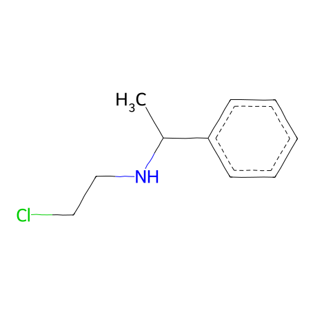 CC(NCCCl)c1ccccc1